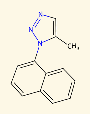 Cc1cnnn1-c1cccc2ccccc12